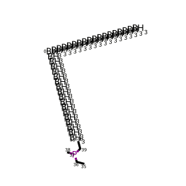 B.B.B.B.B.B.B.B.B.B.B.B.B.B.B.B.B.B.B.B.B.B.B.B.B.B.B.B.B.B.B.B.B.B.B.CCP(C)CC